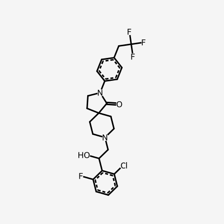 O=C1N(c2ccc(CC(F)(F)F)cc2)CCC12CCN(CC(O)c1c(F)cccc1Cl)CC2